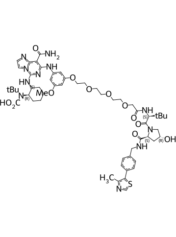 COc1cc(Nc2nc(N[C@H]3CCCC[C@H]3N(C(=O)O)C(C)(C)C)n3ccnc3c2C(N)=O)cc(OCCOCCOCCOCC(=O)N[C@H](C(=O)N2C[C@H](O)C[C@H]2C(=O)NCc2ccc(-c3scnc3C)cc2)C(C)(C)C)c1